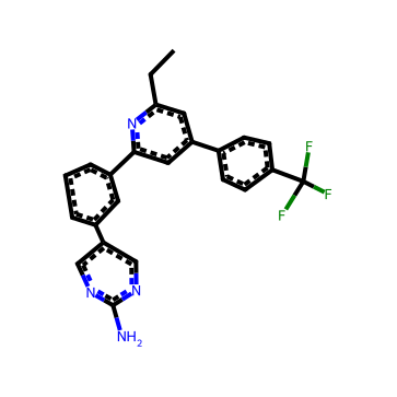 CCc1cc(-c2ccc(C(F)(F)F)cc2)cc(-c2cccc(-c3cnc(N)nc3)c2)n1